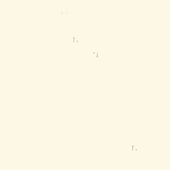 CN(CC(=O)O)c1cc(-c2ccccc2)c2cc(CCc3cccnc3)ccc2n1